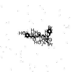 CC(C)C[C@H](NC(=O)[C@H](Cc1ccc(Br)cc1)NC(=O)CNC(=O)CNC(=O)[C@@H](N)Cc1ccc(O)cc1)C(=O)O